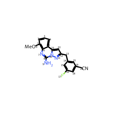 COc1cccc2c1nc(N)n1nc(Cc3cc(F)cc(C#N)c3)cc21